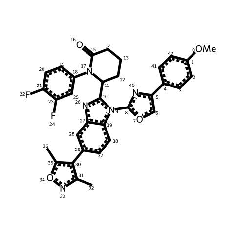 COc1ccc(-c2coc(-n3c(C4CCCC(=O)N4c4ccc(F)c(F)c4)nc4cc(-c5c(C)noc5C)ccc43)n2)cc1